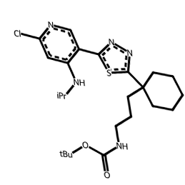 CC(C)Nc1cc(Cl)ncc1-c1nnc(C2(CCCNC(=O)OC(C)(C)C)CCCCC2)s1